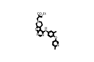 C=C(CN1CCc2c(sc3ncnc(Nc4ccc(Oc5ccc(C)nc5)c(C)c4)c23)C1)C(=O)OCC